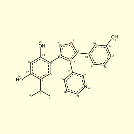 CC(C)c1cc(-c2nnc(-c3cccc(O)c3)n2-c2cccnc2)c(O)cc1O